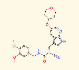 COc1ccc(CNC(=O)/C(C#N)=C/c2c[nH]c3ncc(OC4CCOCC4)cc23)cc1OC